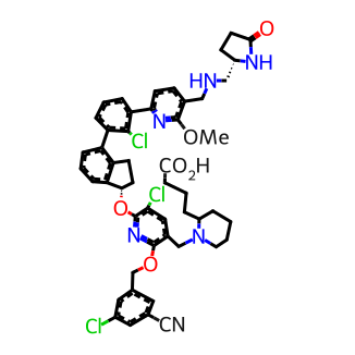 COc1nc(-c2cccc(-c3cccc4c3CC[C@@H]4Oc3nc(OCc4cc(Cl)cc(C#N)c4)c(CN4CCCCC4CCCC(=O)O)cc3Cl)c2Cl)ccc1CNC[C@@H]1CCC(=O)N1